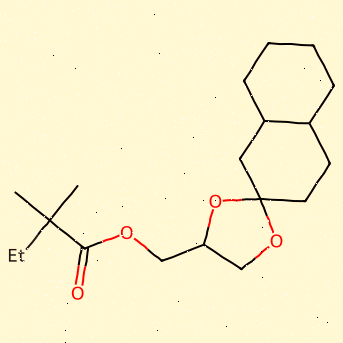 CCC(C)(C)C(=O)OCC1COC2(CCC3CCCCC3C2)O1